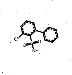 NS(=O)(=O)c1c(Cl)cccc1-c1ccccc1